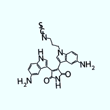 Nc1ccc2[nH]cc(C3=C(c4cn(CCCN=C=S)c5ccc(N)cc45)C(=O)NC3=O)c2c1